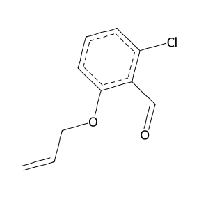 C=CCOc1cccc(Cl)c1C=O